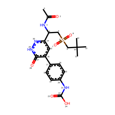 CC(=O)NC(CS(=O)(=O)CC(C)(C)C)c1cc(-c2ccc(NC(=O)O)cc2)c(=O)[nH]n1